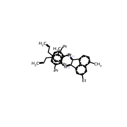 C=CCc1cc(C(C)C)c(/N=C2\C(=N/c3c(C(C)C)cc(CC=C)c(C)c3C(C)C)c3cc(CC)cc4c(C)ccc2c34)c(C(C)C)c1